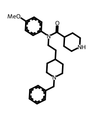 COc1ccc(N(CCC2CCN(Cc3ccccc3)CC2)C(=O)C2CCNCC2)cc1